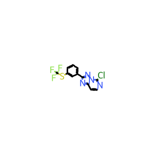 FC(F)(F)Sc1cccc(-c2nc3ccnc(Cl)n3n2)c1